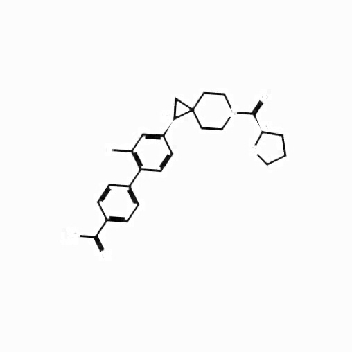 O=C(O)c1ccc(-c2ccc([C@H]3CC34CCN(C(=O)[C@H]3CCCO3)CC4)cc2Cl)cc1